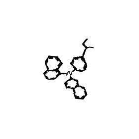 CCC(C)c1ccc(N(c2ccc3ccccc3c2)c2cccc3ccccc23)cc1